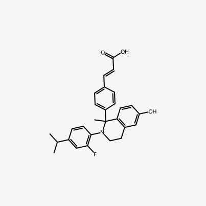 CC(C)c1ccc(N2CCc3cc(O)ccc3C2(C)c2ccc(C=CC(=O)O)cc2)c(F)c1